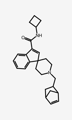 O=C(NC1CCC1)C1=CC2(CCN(CC3CC4C=CC3C4)CC2)c2ccccc21